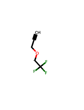 C#CCO[CH]C(F)(F)F